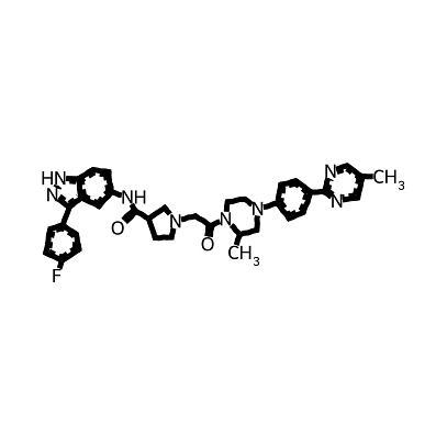 Cc1cnc(-c2ccc(N3CCN(C(=O)CN4CCC(C(=O)Nc5ccc6[nH]nc(-c7ccc(F)cc7)c6c5)C4)C(C)C3)cc2)nc1